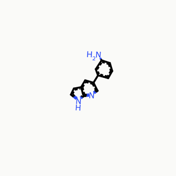 Nc1cccc(-c2cnc3[nH]ccc3c2)c1